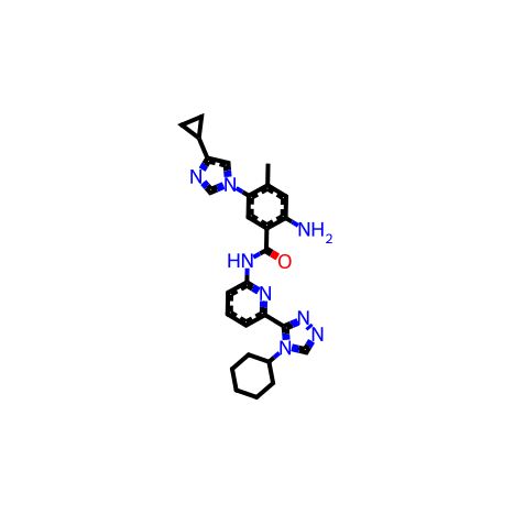 Cc1cc(N)c(C(=O)Nc2cccc(-c3nncn3C3CCCCC3)n2)cc1-n1cnc(C2CC2)c1